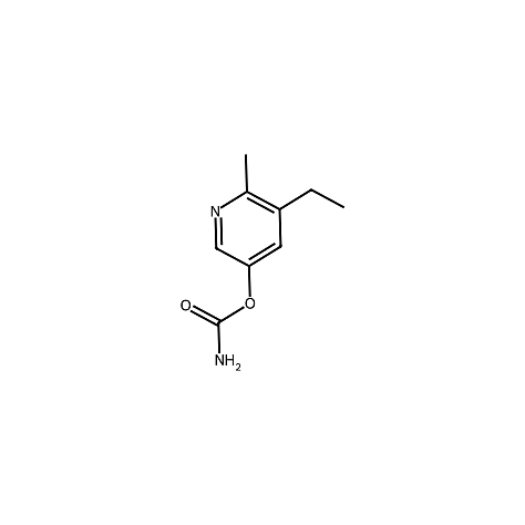 CCc1cc(OC(N)=O)cnc1C